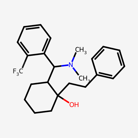 CN(C)C(c1ccccc1C(F)(F)F)C1CCCCC1(O)CCc1ccccc1